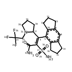 NC(=O)C(=C(c1c2c(cc3c1CCC3)CCC2)C1CCCN1CC(F)(F)F)S(N)(=O)=O